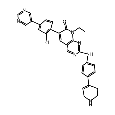 CCn1c(=O)c(-c2ccc(-c3cncnc3)cc2Cl)cc2cnc(Nc3ccc(C4=CCNCC4)cc3)nc21